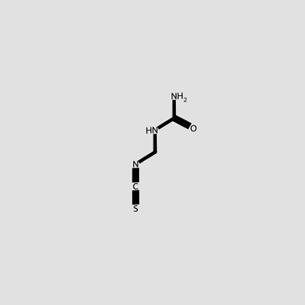 NC(=O)NCN=C=S